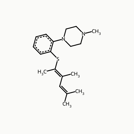 CC(C)=C/C(C)=C(\C)Sc1ccccc1N1CCN(C)CC1